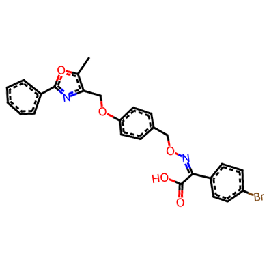 Cc1oc(-c2ccccc2)nc1COc1ccc(CO/N=C(\C(=O)O)c2ccc(Br)cc2)cc1